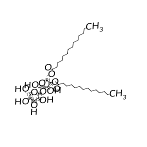 CCCCCCCCCCCCCC(=O)OC[C@H]1O[C@@](CO)(O[C@@H]2O[C@@H](CO)[C@H](O)[C@@H](O)[C@@H]2O)[C@@H](O)[C@@H]1OC(=O)CCCCCCCCCCCCC